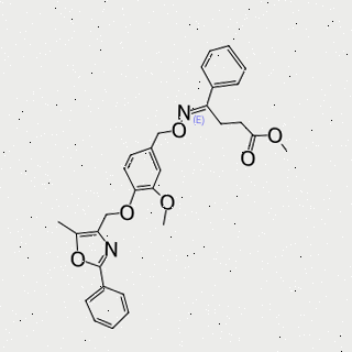 COC(=O)CC/C(=N\OCc1ccc(OCc2nc(-c3ccccc3)oc2C)c(OC)c1)c1ccccc1